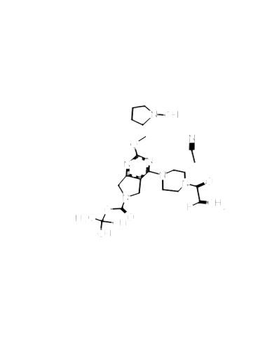 C=C(F)C(=O)N1CCN(c2nc(OC[C@@H]3CCCN3C)nc3c2CN(C(=O)OC(C)(C)C)C3)C[C@@H]1CC#N